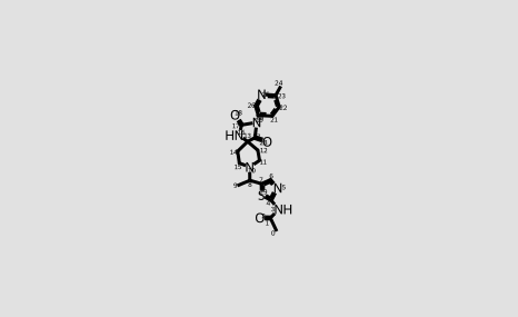 CC(=O)Nc1ncc(C(C)N2CCC3(CC2)NC(=O)N(c2ccc(C)nc2)C3=O)s1